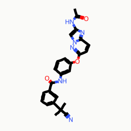 CC(=O)Nc1cn2nc(Oc3cccc(NC(=O)c4cccc(C(C)(C)C#N)c4)c3)ccc2n1